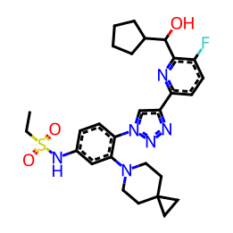 CCS(=O)(=O)Nc1ccc(-n2cc(-c3ccc(F)c(C(O)C4CCCC4)n3)nn2)c(N2CCC3(CC2)CC3)c1